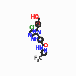 Nc1ncc(Cl)n2c(C34CCC(CO)(CC3)OC4)nc(-c3ccc(C(=O)Nc4cc(C(F)(F)F)ccn4)cc3)c12